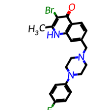 Cc1[nH]c2cc(CN3CCN(c4ccc(F)cc4)CC3)ccc2c(=O)c1Br